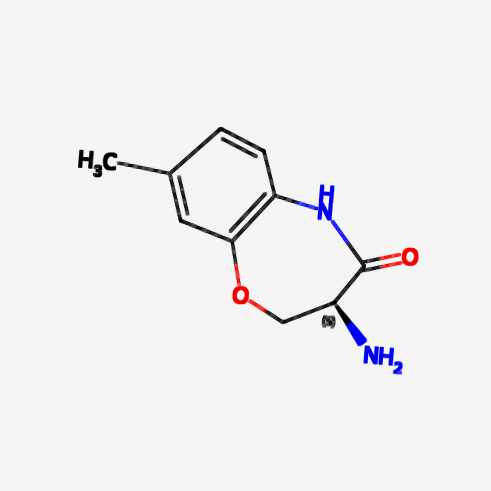 Cc1ccc2c(c1)OC[C@H](N)C(=O)N2